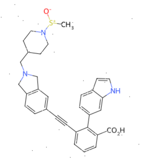 C[S+]([O-])N1CCC(CN2Cc3ccc(C#Cc4cccc(C(=O)O)c4-c4ccc5cc[nH]c5c4)cc3C2)CC1